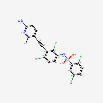 Cc1nc(N)ccc1C#Cc1c(F)ccc(NS(=O)(=O)c2cc(Cl)ccc2Cl)c1F